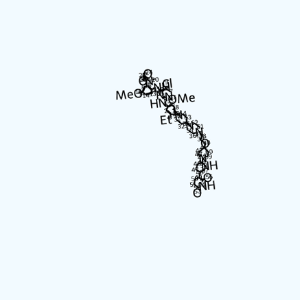 CCc1cc(Nc2ncc(Cl)c(Nc3ccc(OC)cc3N(C)S(C)(=O)=O)n2)c(OC)cc1N1CCC(N2CCN(CCOC3CCN(C4CCC(C5CCC(=O)NC5=O)CN4)CC3)CC2)CC1